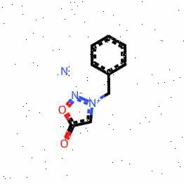 O=c1c[n+](Cc2ccccc2)[n-]o1.[N]